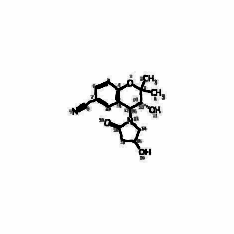 CC1(C)Oc2ccc(C#N)cc2[C@H](N2CC(O)CC2=O)[C@H]1O